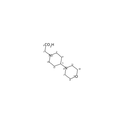 O=C(O)CN1CCC(N2CCOCC2)CC1